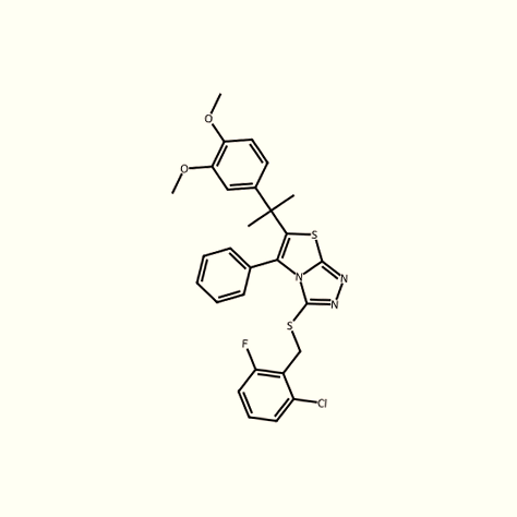 COc1ccc(C(C)(C)c2sc3nnc(SCc4c(F)cccc4Cl)n3c2-c2ccccc2)cc1OC